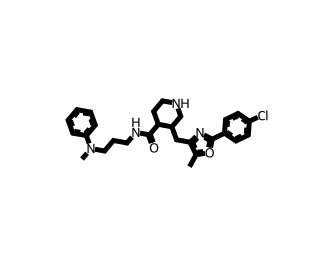 Cc1oc(-c2ccc(Cl)cc2)nc1CC1CNCCC1C(=O)NCCCN(C)c1ccccc1